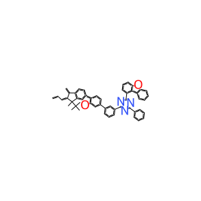 C=C/C=C1\C(=C)c2ccc3c(oc4cc(-c5cccc(-c6nc(-c7ccccc7)nc(-c7cccc8oc9ccccc9c78)n6)c5)ccc43)c2C1(C)C(C)(C)C